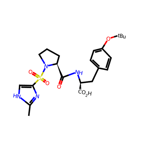 Cc1nc(S(=O)(=O)N2CCC[C@H]2C(=O)N[C@@H](Cc2ccc(OC(C)(C)C)cc2)C(=O)O)c[nH]1